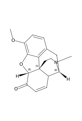 COc1ccc2c3c1O[C@H]1C(=O)C=CC4[C@@H](C2)N(C)CC[C@@]341